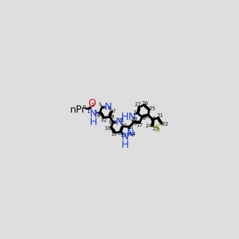 CCCC(=O)Nc1cncc(-c2ccc3[nH]nc(-c4cc5c(-c6ccsc6)cccc5[nH]4)c3n2)c1